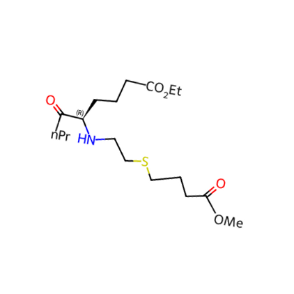 CCCC(=O)[C@@H](CCCC(=O)OCC)NCCSCCCC(=O)OC